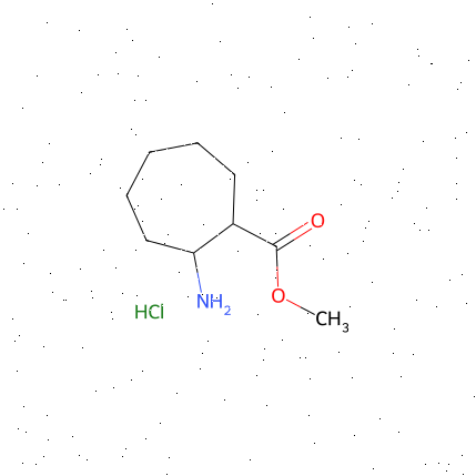 COC(=O)C1CCCCCC1N.Cl